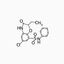 CCC1Oc2c(cc(Cl)cc2S(=O)(=O)Nc2ccccc2)NC1=O